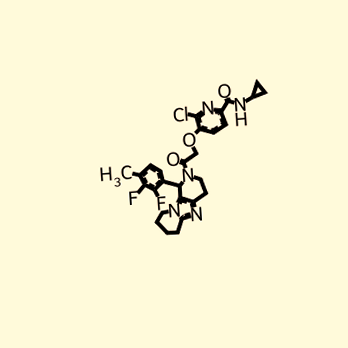 Cc1ccc(C2c3c(nc4n3CCCC4)CCN2C(=O)COc2ccc(C(=O)NC3CC3)nc2Cl)c(F)c1F